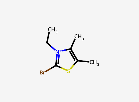 CC[n+]1c(Br)sc(C)c1C